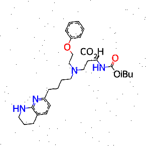 CC(C)COC(=O)N[C@@H](CCN(CCCCc1ccc2c(n1)NCCC2)CCOc1ccccc1)C(=O)O